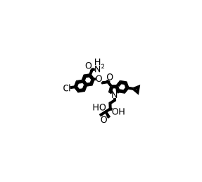 NC(=O)c1cc2cc(Cl)ccc2cc1OCC(=O)c1cn(CCC(O)C2(O)COC2)c2cc(C3CC3)ccc12